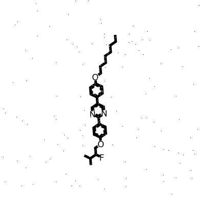 CCCCCCCCOc1ccc(-c2cnc(-c3ccc(OCC(F)C(C)C)cc3)nc2)cc1